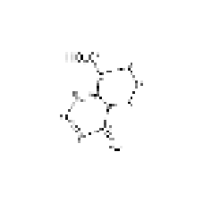 O=C(O)C1CCCC2C(=O)C=CC=C12